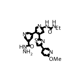 CCNC(=O)Nc1cc(-c2nc(-c3ccc(OC)nc3)cs2)c(-c2cncc(C(=O)NN)c2)cn1